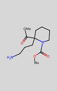 COC(=O)C1(CCCN)CCCCN1C(=O)OC(C)(C)C